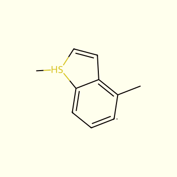 Cc1[c]ccc2c1C=C[SH]2C